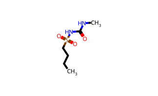 CCCCS(=O)(=O)NC(=O)NC